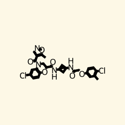 Cc1cc(OCC(=O)NC23CC(NC(=O)C4CN(C(=O)c5cnoc5C)c5cc(Cl)ccc5O4)(C2)C3)ccc1Cl